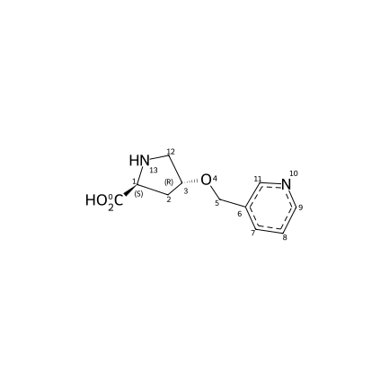 O=C(O)[C@@H]1C[C@@H](OCc2cccnc2)CN1